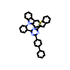 c1ccc(-c2ccc(-c3nc(-c4cc5ccccc5s4)nc(-c4ccccc4-n4c5ccccc5c5ccccc54)n3)cc2)cc1